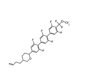 C=CCCC1CCC(c2cc(F)c(-c3cc(F)c(-c4cc(F)c(C(F)(F)OC(F)(F)F)c(F)c4)c(F)c3)c(F)c2)OC1